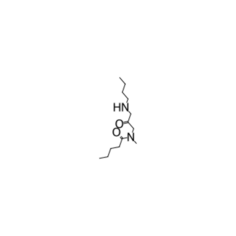 CCCCNCC(=O)CN(C)C(=O)CCCC